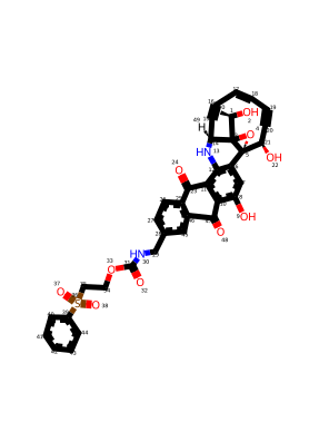 C[C@@H](O)C12O[C@]13c1cc(O)c4c(c1N[C@H]2C#C/C=C\C#C[C@H]3O)C(=O)c1ccc(CNC(=O)OCCS(=O)(=O)c2ccccc2)cc1C4=O